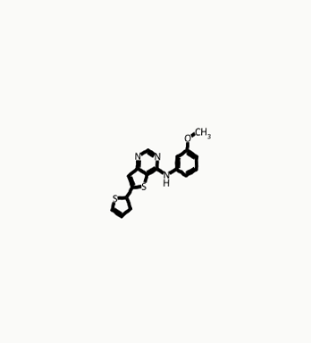 COc1cccc(Nc2ncnc3cc(C4CC=CS4)sc23)c1